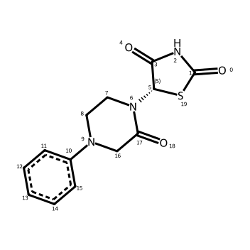 O=C1NC(=O)[C@@H](N2CCN(c3ccccc3)CC2=O)S1